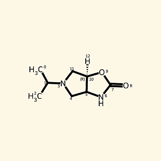 CC(C)N1CC2NC(=O)O[C@@H]2C1